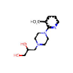 O=C(O)c1cccnc1N1CCN(CC(O)CO)CC1